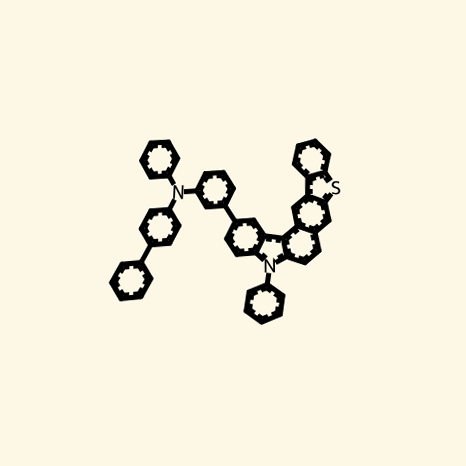 c1ccc(-c2ccc(N(c3ccccc3)c3cccc(-c4ccc5c(c4)c4c6cc7c(cc6ccc4n5-c4ccccc4)sc4ccccc47)c3)cc2)cc1